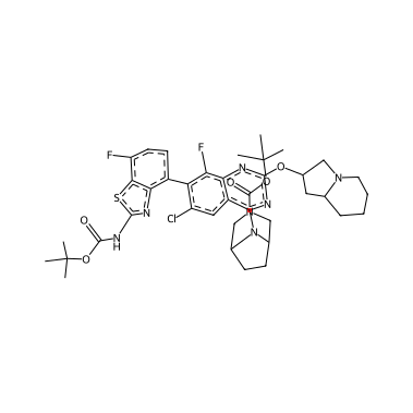 CC(C)(C)OC(=O)Nc1nc2c(-c3c(Cl)cc4c(N5C6CCC5CN(C(=O)OC(C)(C)C)C6)nc(OC5CC6CCCCN6C5)nc4c3F)ccc(F)c2s1